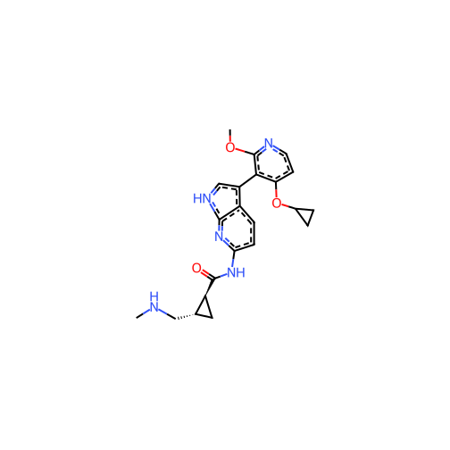 CNC[C@H]1C[C@@H]1C(=O)Nc1ccc2c(-c3c(OC4CC4)ccnc3OC)c[nH]c2n1